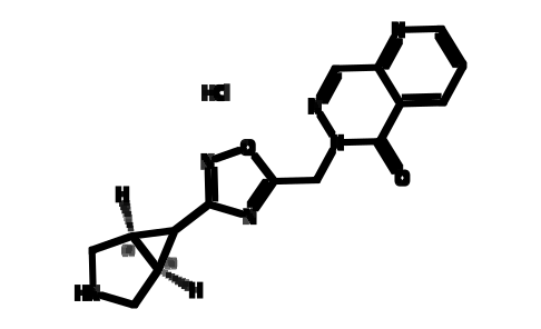 Cl.O=c1c2cccnc2cnn1Cc1nc(C2[C@H]3CNC[C@@H]23)no1